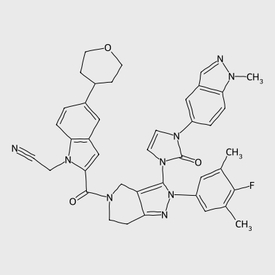 Cc1cc(-n2nc3c(c2-n2ccn(-c4ccc5c(cnn5C)c4)c2=O)CN(C(=O)c2cc4cc(C5CCOCC5)ccc4n2CC#N)CC3)cc(C)c1F